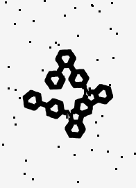 c1ccc(-c2ccc(-n3c4ccccc4c4cc5c6ccccc6n(-c6ccc(-c7ccccc7-c7ccccc7)cc6)c5cc43)cc2)cc1